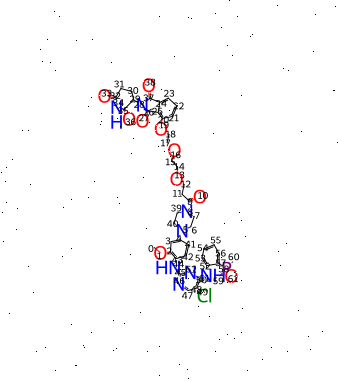 COc1cc(N2CCN(C(=O)CCOCCOCCOc3cccc4c3C(=O)N(C3CCC(=O)NC3=O)C4=O)CC2)ccc1Nc1ncc(Cl)c(Nc2ccccc2P(C)(C)=O)n1